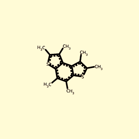 Cc1sc2c(C)c(C)c3sc(C)c(C)c3c2c1C